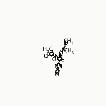 CCc1cc(Cl)cc(C(=O)Nc2cc(-c3cnc(N4CCOCC4)nc3)c(F)cc2N2CCC(N(C)CCCOC)C2)c1